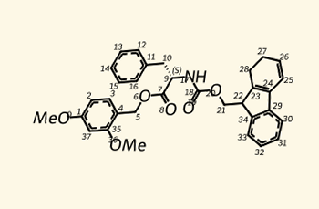 COc1ccc(COC(=O)[C@H](Cc2ccccc2)NC(=O)OCC2C3=C(C=CCC3)c3ccccc32)c(OC)c1